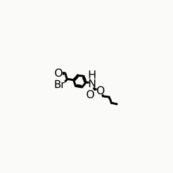 CCCCOC(=O)Nc1ccc(C(Br)C=O)cc1